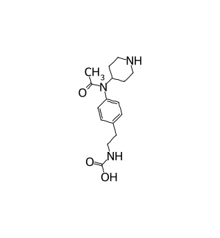 CC(=O)N(c1ccc(CCNC(=O)O)cc1)C1CCNCC1